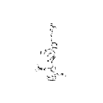 NCCC1(c2ccc(C3C4CC5CC3CC(C4)C5(CN)c3cccc(CCCCO[N+](=O)[O-])c3)c(CO[N+](=O)[O-])c2)C2CC3CC(C2)CC1C3